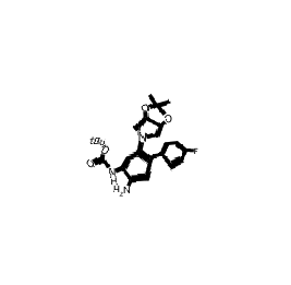 CC(C)(C)OC(=O)Nc1cc(N2CC3OC(C)(C)OC3C2)c(-c2ccc(F)cc2)cc1N